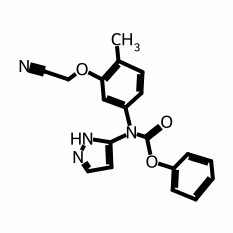 Cc1ccc(N(C(=O)Oc2ccccc2)c2ccn[nH]2)cc1OCC#N